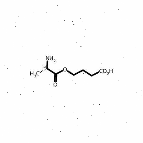 C[C@H](N)C(=O)OCCCC(=O)O